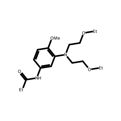 CCOCCN(CCOCC)c1cc(NC(=O)CC)ccc1OC